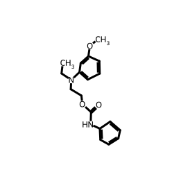 CCN(CCOC(=O)Nc1ccccc1)c1cccc(OC)c1